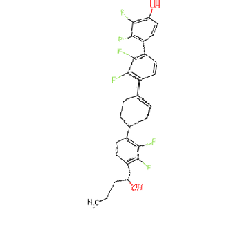 CCCC(O)c1ccc(C2CC=C(c3ccc(-c4ccc(O)c(F)c4F)c(F)c3F)CC2)c(F)c1F